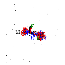 C[C@@H]1COCCN1C[C@H]1CN(C(=O)OC(C)(C)C)[C@@H](C)CN1CC(=O)N1C[C@@](C)(CCCNC(=O)CC(=O)Nc2ccc3c(c2)[C@@H](C(=O)Nc2c(F)cccc2F)N(C(=O)[C@@H](NC(=O)[C@H](C)N(C)C(=O)OC(C)(C)C)C2CCOCC2)C3)c2ccc(Cc3ccc(F)cc3)cc21